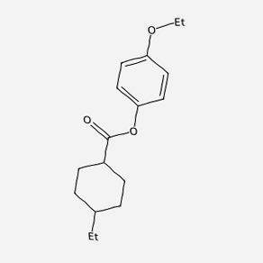 CCOc1ccc(OC(=O)C2CCC(CC)CC2)cc1